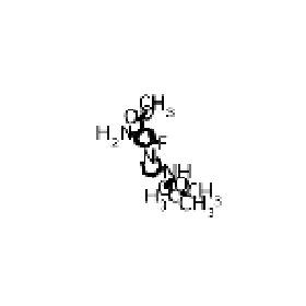 COC(=O)c1cc(F)c(N2CCCC(NC(=O)OC(C)(C)C)C2)cc1N